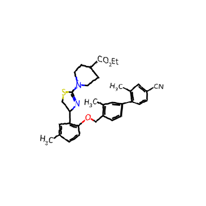 CCOC(=O)C1CCN(C2=NC(c3cc(C)ccc3OCc3ccc(-c4ccc(C#N)cc4C)cc3C)CS2)CC1